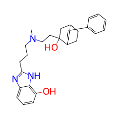 CN(CCCc1nc2cccc(O)c2[nH]1)CCC1(O)CC2CCC1C=C2c1ccccc1